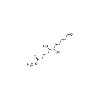 COC(=O)CCCC(O)C(O)/C=C/C=C/C=O